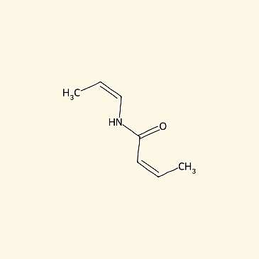 C/C=C\NC(=O)/C=C\C